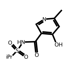 Cc1cc(O)c(C(=O)NS(=O)(=O)C(C)C)cn1